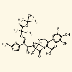 CC(C)(C)OC(=O)C(C)(C)ON=C(C(=O)NC1(C)C(=O)N2C(C(=O)O)=C(c3cc(O)c(O)c(F)c3)CS[C@H]21)c1csc(N)n1